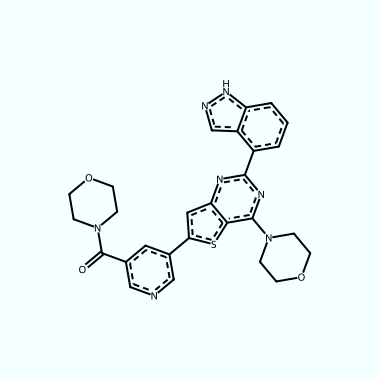 O=C(c1cncc(-c2cc3nc(-c4cccc5[nH]ncc45)nc(N4CCOCC4)c3s2)c1)N1CCOCC1